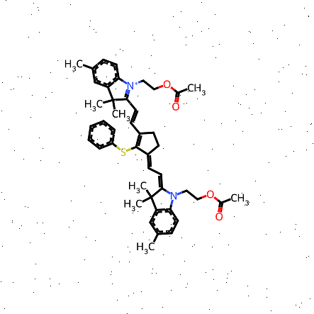 CC(=O)OCCN1/C(=C/C=C2\CCC(/C=C/C3=[N+](CCOC(C)=O)c4ccc(C)cc4C3(C)C)=C2Sc2ccccc2)C(C)(C)c2cc(C)ccc21